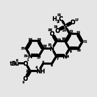 CC(C)(C)OC(=O)NCCc1nc2cccc(S(C)(=O)=O)c2c(=O)n1-c1cccnc1